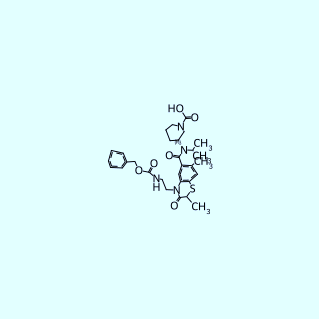 Cc1cc2c(cc1C(=O)N(C(C)C)[C@@H]1CCCN(C(=O)O)C1)N(CCNC(=O)OCc1ccccc1)C(=O)C(C)S2